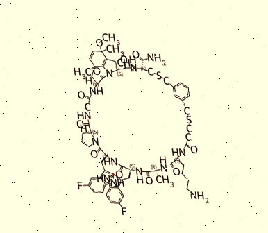 COC1(C)C=CC2(C)C[C@@H]3NC(=O)CNC(=O)[C@@H]4CCCN4C(=O)[C@H](Cc4c[nH]c5ccc(F)cc45)NC(=O)[C@H](Cc4c[nH]c5ccc(F)cc45)NC(=O)[C@@H](C)NC(=O)[C@H](CCCCN)NC(=O)CCSCc4cccc(c4)CSC[C@@H](C(N)=O)NC(=O)[C@]4(C)CC1=C2N4C3=O